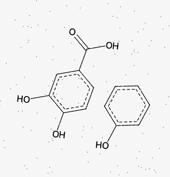 O=C(O)c1ccc(O)c(O)c1.Oc1ccccc1